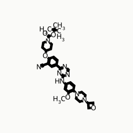 COc1cc(Nc2ncnc(-c3ccc(OC4CCN(C(=O)OC(C)(C)C)CC4)c(C#N)c3)n2)ccc1N1CCN(C2COC2)CC1